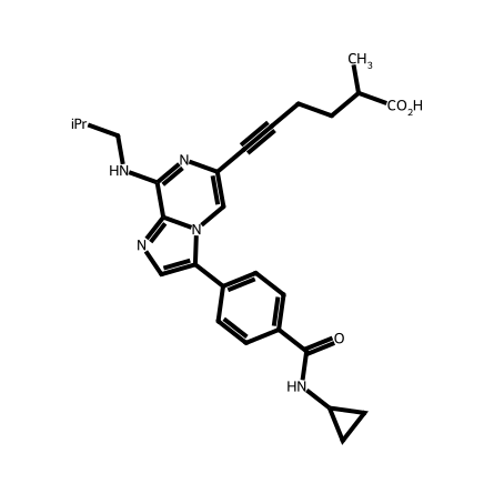 CC(C)CNc1nc(C#CCCC(C)C(=O)O)cn2c(-c3ccc(C(=O)NC4CC4)cc3)cnc12